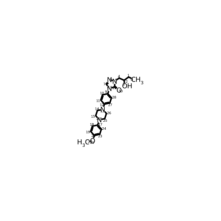 CCC(O)Cn1ncn(-c2ccc(N3CCN(c4ccc(OC)cc4)CC3)cc2)c1=O